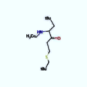 C=CNC(CC(C)(C)C)C(=O)CCSCC(C)(C)C